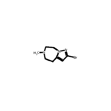 CN1CCc2cc(Br)nn2CC1